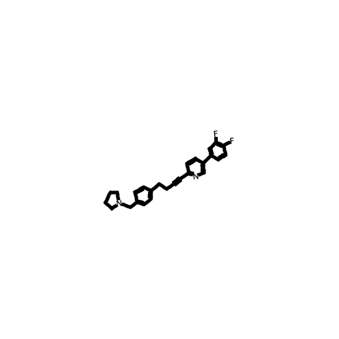 Fc1ccc(-c2ccc(C#CCCc3ccc(CN4CCCC4)cc3)nc2)cc1F